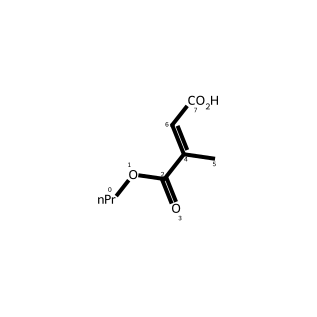 CCCOC(=O)C(C)=CC(=O)O